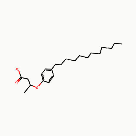 CCCCCCCCCCCCc1ccc(OC(C)CC(=O)O)cc1